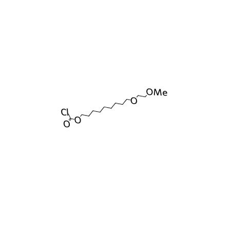 COCCOCCCCCCCCCOC(=O)Cl